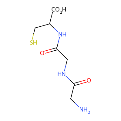 NCC(=O)NCC(=O)NC(CS)C(=O)O